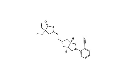 CCC1(CC)C[C@H](CCN2C[C@@H]3CN(c4ccccc4C#N)C[C@H]3C2)OC1=O